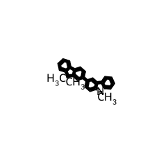 Cn1c2ccccc2c2cc(-c3ccc4c(c3)C(C)(C)c3ccccc3-4)ccc21